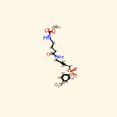 CC(C)(C)OC(=O)NCCCC(=O)NCC#CCOS(=O)(=O)c1ccc([N+](=O)[O-])cc1